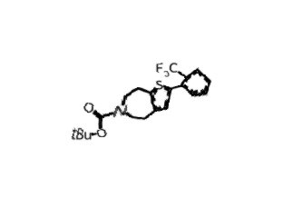 CC(C)(C)OC(=O)N1CCc2cc(-c3ccccc3C(F)(F)F)sc2CC1